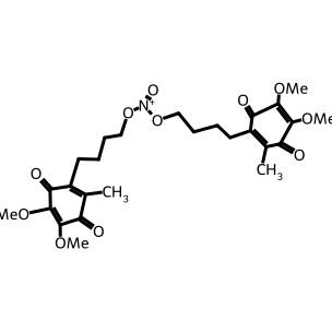 COC1=C(OC)C(=O)C(CCCCO[N+](=O)OCCCCC2=C(C)C(=O)C(OC)=C(OC)C2=O)=C(C)C1=O